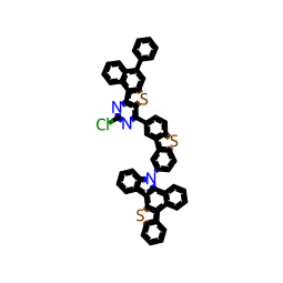 Clc1nc(-c2ccc3sc4ccc(-n5c6ccccc6c6c7sc8ccccc8c7c7ccccc7c65)cc4c3c2)c2sc3cc(-c4ccccc4)c4ccccc4c3c2n1